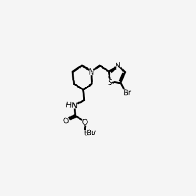 CC(C)(C)OC(=O)NCC1CCCN(Cc2ncc(Br)s2)C1